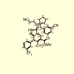 COC(=O)C1=C(C)N(c2cccc(C(F)(F)F)c2)c2n[nH]c(=O)n2[C@@H]1c1ccc(C#N)cc1C[N+]1(CCCC#N)CCCC1